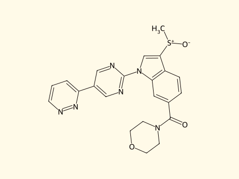 C[S+]([O-])c1cn(-c2ncc(-c3cccnn3)cn2)c2cc(C(=O)N3CCOCC3)ccc12